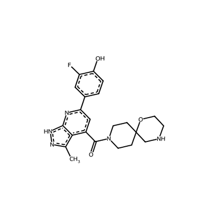 Cc1n[nH]c2nc(-c3ccc(O)c(F)c3)cc(C(=O)N3CCC4(CC3)CNCCO4)c12